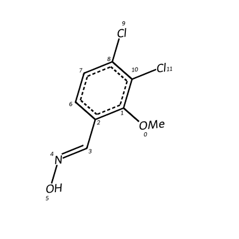 COc1c(C=NO)ccc(Cl)c1Cl